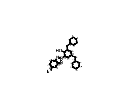 Oc1c(Cc2ccccc2)cc(Cc2ccccc2)cc1-n1nc2ccc(Br)cc2n1